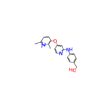 Cc1ccc(Oc2ccnc(Nc3ccc(CO)cc3)c2)c(C)n1